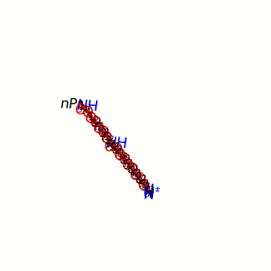 CCCNC(=O)CCOCCOCCOCCOCCOCCOCCNC(=O)CCOCCOCCOCCOCCOCCOCCOCCOCCN=[N+]=[N-]